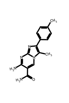 Cc1ccc(-c2nc3nc(N)c(C(N)=O)cn3c2C)cc1